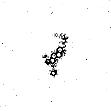 C=C(C)[C@@H]1CC[C@]2(CC(=O)N3CC4CCC3C4)CC[C@]3(C)[C@H](CC[C@@H]4[C@@]5(C)CC[C@H](OC(=O)CC(C)(C)CC(=O)O)C(C)(C)[C@@H]5CC[C@]43C)[C@@H]12